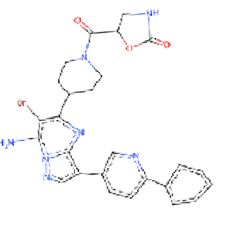 Nc1c(Br)c(C2CCN(C(=O)C3CNC(=O)O3)CC2)nc2c(-c3ccc(-c4ccccc4)nc3)cnn12